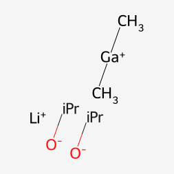 CC(C)[O-].CC(C)[O-].[CH3][Ga+][CH3].[Li+]